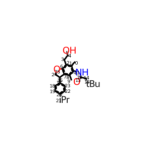 Cc1c(CCO)c2c(c(C)c1NC(=O)CC(C)(C)C)C(c1ccc(C(C)C)cc1)CO2